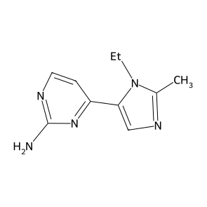 CCn1c(-c2ccnc(N)n2)cnc1C